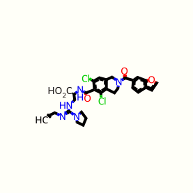 C#CC/N=C(\NC[C@H](NC(=O)c1c(Cl)cc2c(c1Cl)CCN(C(=O)c1ccc3ccoc3c1)C2)C(=O)O)N1CCCC1